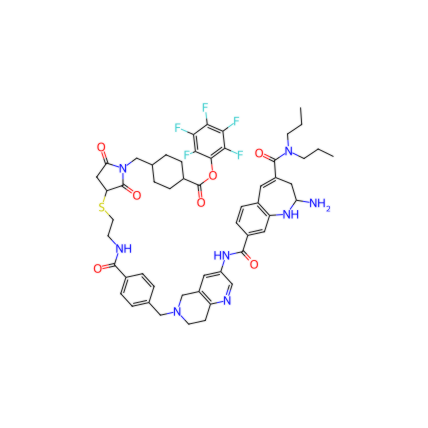 CCCN(CCC)C(=O)C1=Cc2ccc(C(=O)Nc3cnc4c(c3)CN(Cc3ccc(C(=O)NCCSC5CC(=O)N(CC6CCC(C(=O)Oc7c(F)c(F)c(F)c(F)c7F)CC6)C5=O)cc3)CC4)cc2NC(N)C1